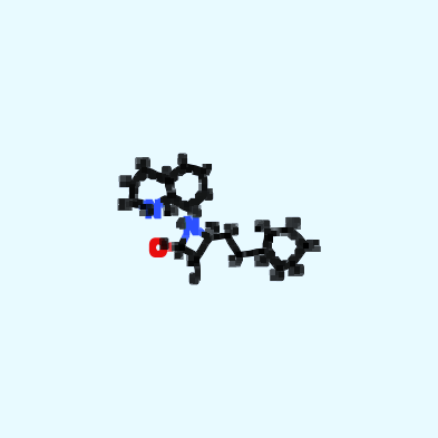 CC1C(=O)N(c2cccc3cccnc23)C1CCc1ccccc1